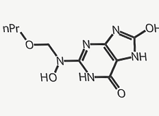 CCCOCN(O)c1nc2nc(O)[nH]c2c(=O)[nH]1